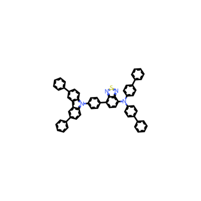 c1ccc(-c2ccc(N(c3ccc(-c4ccccc4)cc3)c3ccc(-c4ccc(-n5c6ccc(-c7ccccc7)cc6c6cc(-c7ccccc7)ccc65)cc4)c4nsnc34)cc2)cc1